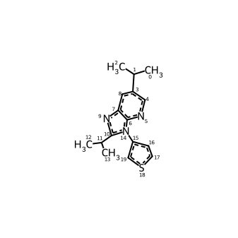 CC(C)c1cnc2c(c1)nc(C(C)C)n2-c1ccsc1